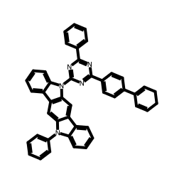 C1=CC(c2ccc(-c3nc(-c4ccccc4)nc(-n4c5ccccc5c5cc6c(cc54)c4ccccc4n6-c4ccccc4)n3)cc2)=CCC1